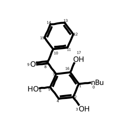 CCCCc1c(O)cc(O)c(C(=O)c2ccccc2)c1O